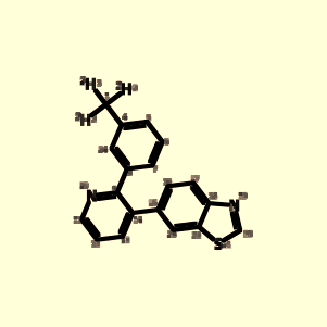 [2H]C([2H])([2H])c1cccc(-c2ncccc2-c2ccc3ncsc3c2)c1